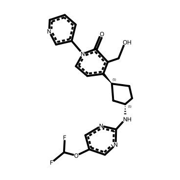 O=c1c(CO)c([C@H]2CC[C@H](Nc3ncc(OC(F)F)cn3)C2)ccn1-c1cccnc1